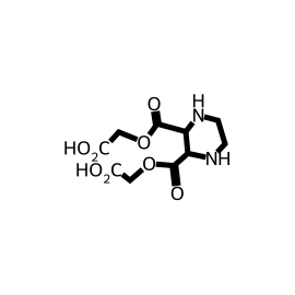 O=C(O)COC(=O)C1NCCNC1C(=O)OCC(=O)O